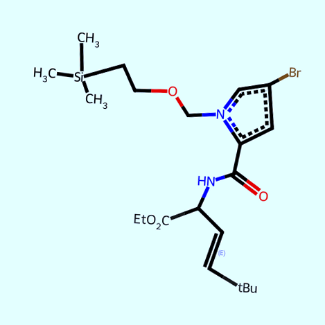 CCOC(=O)C(/C=C/C(C)(C)C)NC(=O)c1cc(Br)cn1COCC[Si](C)(C)C